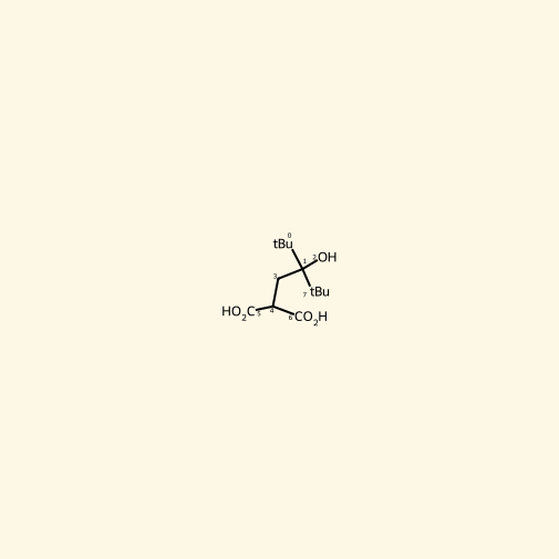 CC(C)(C)C(O)(CC(C(=O)O)C(=O)O)C(C)(C)C